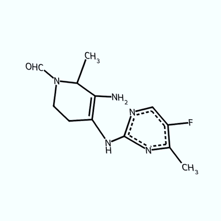 Cc1nc(NC2=C(N)C(C)N(C=O)CC2)ncc1F